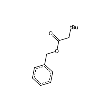 CC(C)(C)CC(=O)OCc1ccccc1